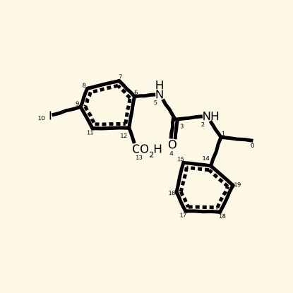 CC(NC(=O)Nc1ccc(I)cc1C(=O)O)c1ccccc1